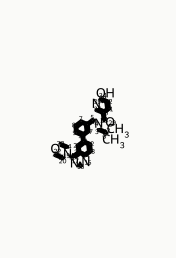 CC(C)CN(Cc1cccc(-c2ccc3ncnc(N4CCOCC4)c3c2)c1)C(=O)c1ccc(O)nc1